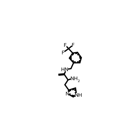 C=C(NCc1cccc(C(F)(F)F)c1)C(N)Cc1c[nH]cn1